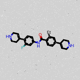 CCc1cc(C2=CCNCC2)ccc1C(=O)Nc1ccc(C2=CCNCC2)c(F)c1